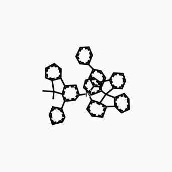 CC1(C)c2ccccc2-c2cc(N(c3cccc(-c4ccccc4)c3)c3cccc4c3C3(c5ccccc5-c5ccccc53)c3ccccc3-4)cc(-c3ccccc3)c21